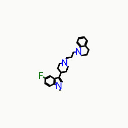 Cn1cc(C2CCN(CCCN3CCCc4ccccc43)CC2)c2cc(F)ccc21